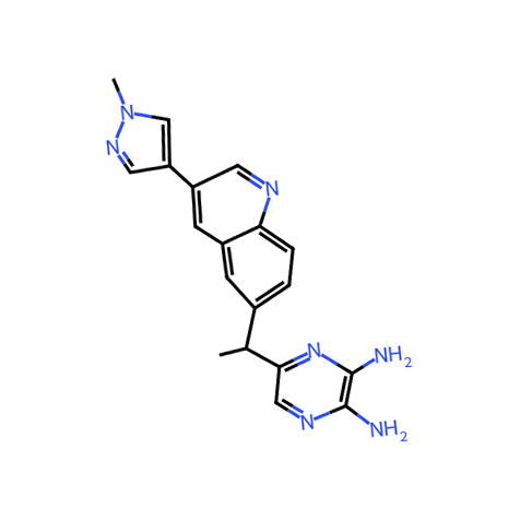 CC(c1ccc2ncc(-c3cnn(C)c3)cc2c1)c1cnc(N)c(N)n1